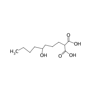 CCCCC(O)CCCC(C(=O)O)C(=O)O